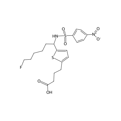 O=C(O)CCCc1ccc(C(CCCCCF)NS(=O)(=O)c2ccc([N+](=O)[O-])cc2)s1